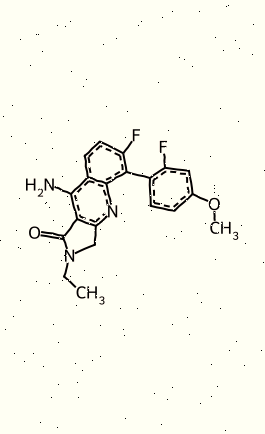 CCN1Cc2nc3c(-c4ccc(OC)cc4F)c(F)ccc3c(N)c2C1=O